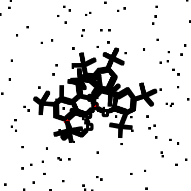 C=C1COP(Oc2c(C(C)(C)C)cc(C(C)(C)C)c(C)c2-c2c(C)c(C(C)(C)C)cc(C(C)(C)C)c2Op2oc3c(C(C)(C)C)cc(C(C)(C)C)cc3c3cc(C(C)(C)C)cc(C(C)(C)C)c3o2)OC1